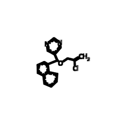 C=C(Cl)COC(c1cncnc1)c1cccc2ccccc12